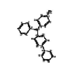 CCc1ccc(N(c2ccccc2)c2ccc(-c3ccccc3)cc2)cc1